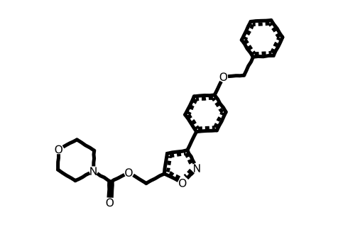 O=C(OCc1cc(-c2ccc(OCc3ccccc3)cc2)no1)N1CCOCC1